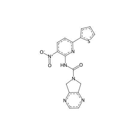 O=C(Nc1nc(-c2cccs2)ccc1[N+](=O)[O-])N1Cc2nccnc2C1